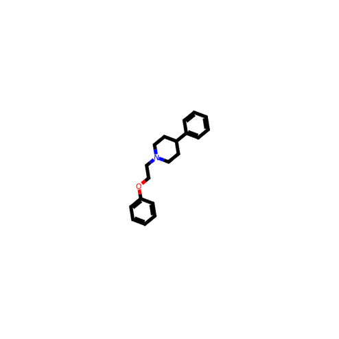 [c]1ccc(OCCN2CCC(c3ccccc3)CC2)cc1